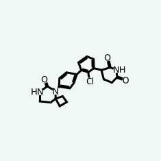 O=C1CCC(c2cccc(-c3ccc(N4C(=O)NCCC45CCC5)cc3)c2Cl)C(=O)N1